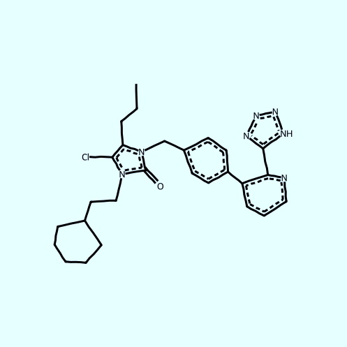 CCCc1c(Cl)n(CCC2CCCCC2)c(=O)n1Cc1ccc(-c2cccnc2-c2nnn[nH]2)cc1